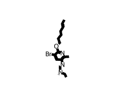 C/C=C/CCCCOc1nc(C)c(/N=C/N(C)CC)cc1Br